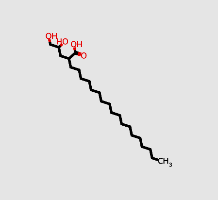 CCCCCCCCCCCCCCCCCCC(CC(O)CO)C(=O)O